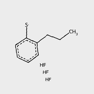 CCCc1ccccc1[S].F.F.F